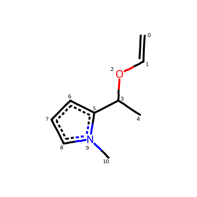 C=COC(C)c1cccn1C